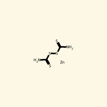 NC(=S)SSC(N)=S.[Zn]